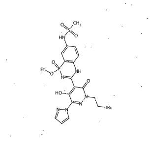 CCOP1(=O)N=C(c2c(O)c(-n3cccn3)nn(CCC(C)(C)C)c2=O)Nc2ccc(NS(C)(=O)=O)cc21